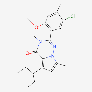 CCC(CC)c1cc(C)n2nc(-c3cc(Cl)c(C)cc3OC)n(C)c(=O)c12